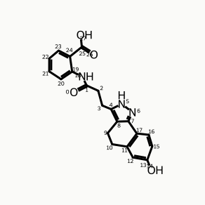 O=C(CCc1[nH]nc2c1CCc1cc(O)ccc1-2)Nc1ccccc1C(=O)O